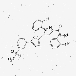 CCN(C(=O)c1cc(-c2ccc(-c3cccc(S(C)(=O)=O)c3)s2)n(-c2ccccc2Cl)n1)c1ccccc1C#N